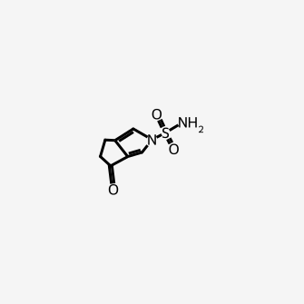 NS(=O)(=O)n1cc2c(c1)C(=O)CC2